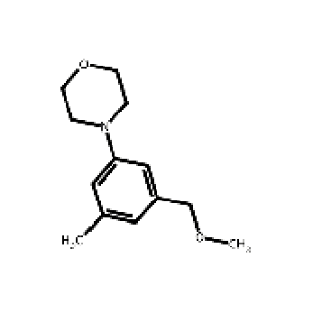 COCc1cc(C)cc(N2CCOCC2)c1